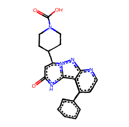 O=C(O)N1CCC(c2cc(=O)[nH]c3c4c(-c5ccccc5)ccnc4nn23)CC1